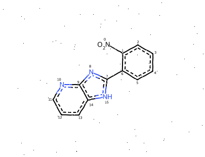 O=[N+]([O-])c1ccccc1-c1nc2ncccc2[nH]1